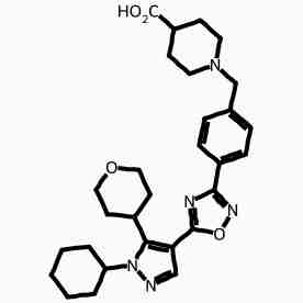 O=C(O)C1CCN(Cc2ccc(-c3noc(-c4cnn(C5CCCCC5)c4C4CCOCC4)n3)cc2)CC1